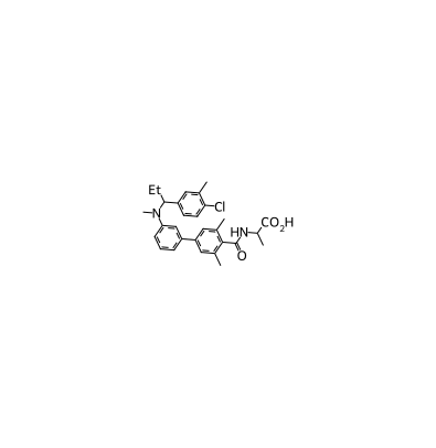 CCC(c1ccc(Cl)c(C)c1)N(C)c1cccc(-c2cc(C)c(C(=O)NC(C)C(=O)O)c(C)c2)c1